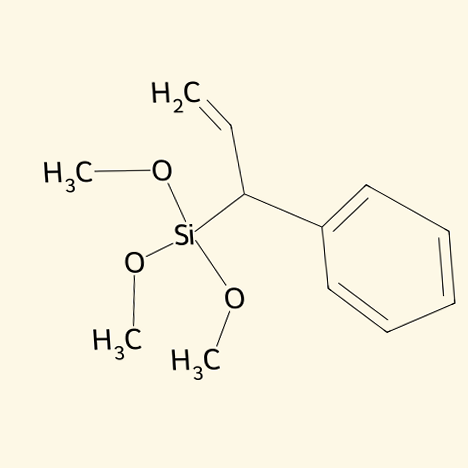 C=CC(c1ccccc1)[Si](OC)(OC)OC